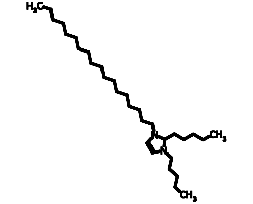 CCCCCCCCCCCCCCCCCCN1C=CN(CCCCC)C1CCCCC